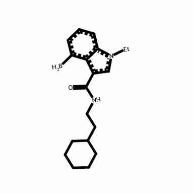 Bc1cccc2c1c(C(=O)NCCC1CCCCC1)cn2CC